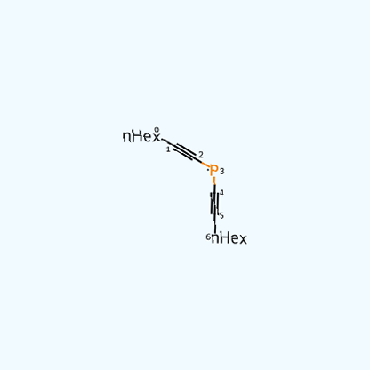 CCCCCCC#C[P]C#CCCCCCC